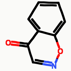 O=c1cnoc2ccccc12